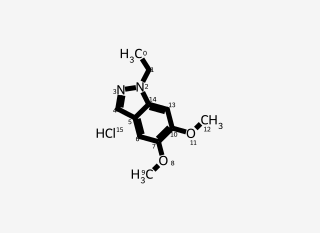 CCn1ncc2cc(OC)c(OC)cc21.Cl